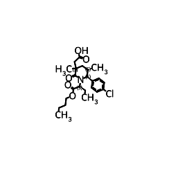 CCCCOC(=O)[C@H](CC)N1C(=O)[C@](C)(CC(=O)O)C[C@H](C)[C@H]1c1ccc(Cl)cc1